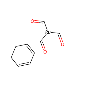 C1=CCCC=C1.O=[CH][Ru]([CH]=O)[CH]=O